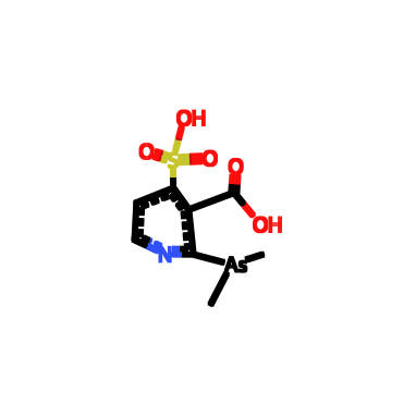 C[As](C)c1nccc(S(=O)(=O)O)c1C(=O)O